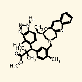 CC[C@@H]1CN(Cc2cc(C(c3ccc4c(nnn4C)c3C)C(C)(C)C(=O)OC)ccc2C)Cc2nc3ccccc3cc2O1